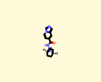 O=C(N[C@@H]1C[C@H]2CC[C@@H]1N2)c1ccn2cncc2c1